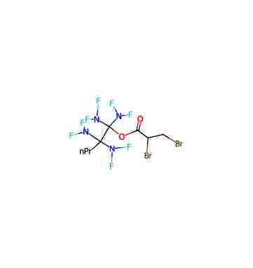 CCCC(N(F)F)(N(F)F)C(OC(=O)C(Br)CBr)(N(F)F)N(F)F